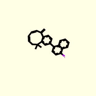 C=C1/C=C\C=C/CC(C)(C)c2cc(-c3ccc(I)c4ccccc34)ccc21